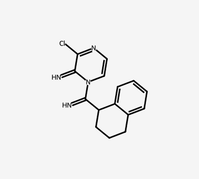 N=C(C1CCCc2ccccc21)n1ccnc(Cl)c1=N